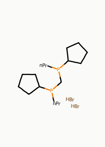 Br.Br.CCCP(CP(CCC)C1CCCC1)C1CCCC1